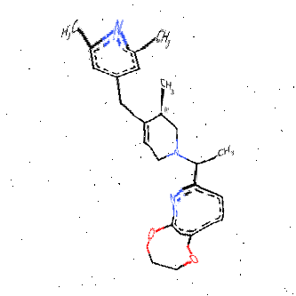 Cc1cc(CC2=CCN(C(C)c3ccc4c(n3)OCCO4)C[C@@H]2C)cc(C)n1